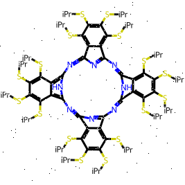 CC(C)Sc1c(SC(C)C)c(SC(C)C)c2c(c1SC(C)C)-c1nc-2nc2[nH]c(nc3nc(nc4[nH]c(n1)c1c(SC(C)C)c(SC(C)C)c(SC(C)C)c(SC(C)C)c41)-c1c(SC(C)C)c(SC(C)C)c(SC(C)C)c(SC(C)C)c1-3)c1c(SC(C)C)c(SC(C)C)c(SC(C)C)c(SC(C)C)c21